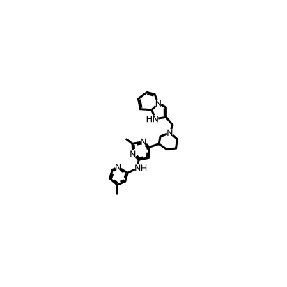 Cc1ccnc(Nc2cc(C3CCCN(CC4=CN5C=CC=CC5N4)C3)nc(C)n2)c1